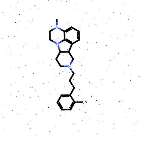 CN1CCN2c3c(cccc31)C1CN(CCCc3ccccc3C#N)CCC12